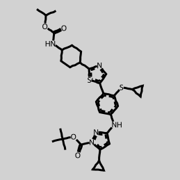 CC(C)OC(=O)NC1CCC(c2ncc(-c3ccc(Nc4cc(C5CC5)n(C(=O)OC(C)(C)C)n4)cc3SC3CC3)s2)CC1